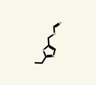 CCc1ncc(CO[C]=O)s1